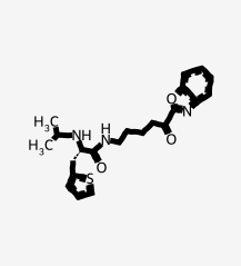 CC(C)N[C@@H](Cc1cccs1)C(=O)NCCCCC(=O)c1nc2ccccc2o1